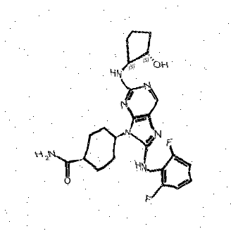 NC(=O)[C@H]1CC[C@@H](n2c(Nc3c(F)cccc3F)nc3cnc(N[C@H]4CCC[C@@H]4O)nc32)CC1